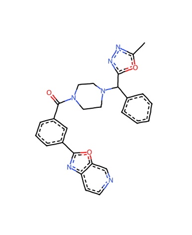 Cc1nnc(C(c2ccccc2)N2CCN(C(=O)c3cccc(-c4nc5ccncc5o4)c3)CC2)o1